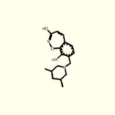 CC1CC(C)CN(Cc2ccc3c(c2O)ON=C(O)C=C3)C1